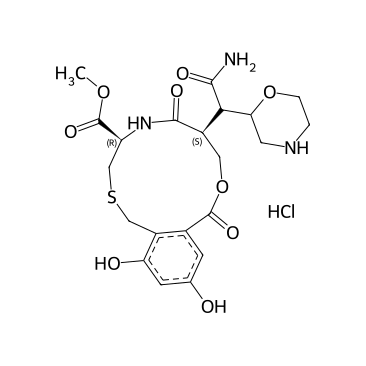 COC(=O)[C@@H]1CSCc2c(O)cc(O)cc2C(=O)OC[C@H](C(C(N)=O)C2CNCCO2)C(=O)N1.Cl